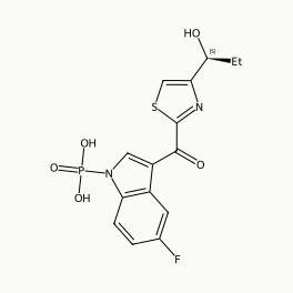 CC[C@H](O)c1csc(C(=O)c2cn(P(=O)(O)O)c3ccc(F)cc23)n1